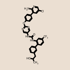 CC(O)Cc1cccc(-c2ccc(C(F)(F)F)cc2NC(=O)Nc2cnc(Oc3ccc(-c4cc(Cl)cnc4N)cc3)nc2)c1